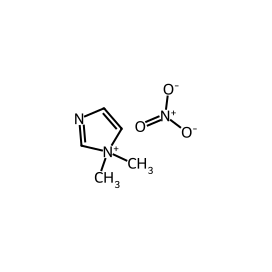 C[N+]1(C)C=CN=C1.O=[N+]([O-])[O-]